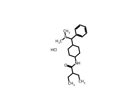 CCC(CC)C(=O)NC1CCC(C(c2ccccc2)N(C)C)CC1.Cl